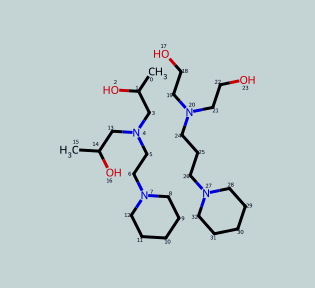 CC(O)CN(CCN1CCCCC1)CC(C)O.OCCN(CCO)CCCN1CCCCC1